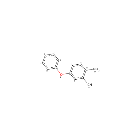 N#Cc1cc(Oc2ccccc2)ccc1[N+](=O)[O-]